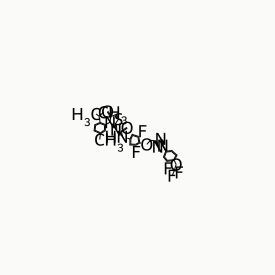 Cc1ccc(C(C)C)c(N2C(=O)CSC2=NC(=O)Nc2cc(F)c(OCc3ncn(-c4ccc(OC(F)(F)F)cc4)n3)c(F)c2)c1